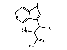 Cc1cccc2[nH]cc(C(C)C(N)C(=O)O)c12